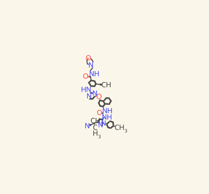 C#Cc1cc(Nc2nccc(Oc3ccc(NC(=O)Nc4cc(C(C)(C)C#N)nn4-c4ccc(C)cc4)c4ccccc34)n2)cc(C(=O)NCCN2CCOCC2)c1